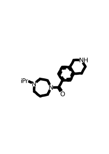 CC(C)N1CCCN(C(=O)c2ccc3c(c2)CCNC3)CC1